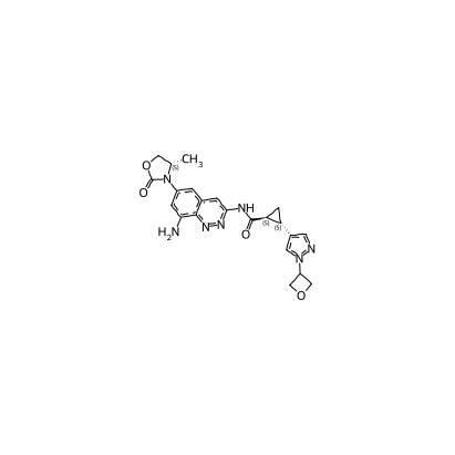 C[C@H]1COC(=O)N1c1cc(N)c2nnc(NC(=O)[C@H]3C[C@@H]3c3cnn(C4COC4)c3)cc2c1